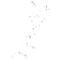 CC(=O)CC(=O)OCc1ccc(C(N)=O)cc1